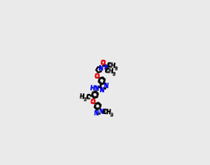 Cc1cc(Nc2ncnc3ccc(O[C@@H]4CCN(C(=O)N(C)C)C4)cc23)ccc1Oc1ccc2c(c1)ncn2C